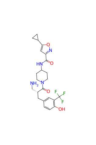 NC[C@@H](Cc1ccc(O)c(C(F)(F)F)c1)C(=O)N1CCC(NC(=O)c2cc(C3CC3)on2)CC1